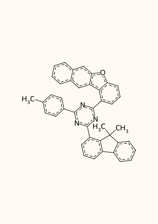 Cc1ccc(-c2nc(-c3cccc4c3C(C)(C)c3ccccc3-4)nc(-c3cccc4oc5cc6ccccc6cc5c34)n2)cc1